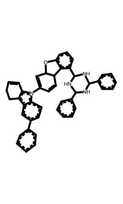 C1=Cc2c(c3cc(-c4ccccc4)ccc3n2C2=CC3Oc4cccc(C5NC(c6ccccc6)NC(c6ccccc6)N5)c4C3C=C2)CC1